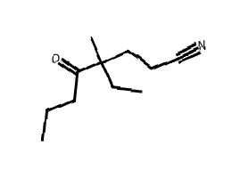 CCCC(=O)C(C)(CC)CCC#N